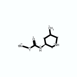 CC1CNC[C@@H](NC(=O)OC(C)(C)C)C1